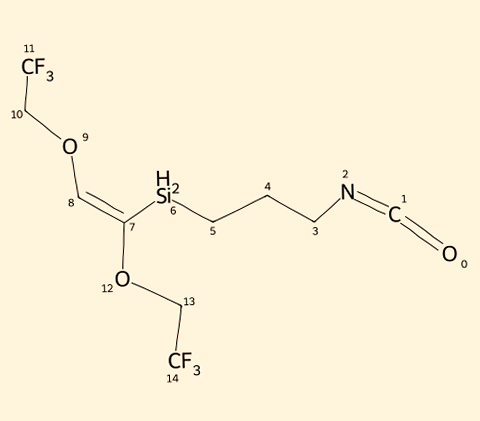 O=C=NCCC[SiH2]/C(=C\OCC(F)(F)F)OCC(F)(F)F